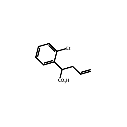 C=CCC(C(=O)O)c1ccccc1CC